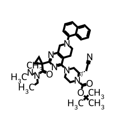 CCN(C(=O)C1(c2nc3c(c(N4CCN(C(=O)OC(C)(C)C)[C@@H](CC#N)C4)n2)CCN(c2cccc4ccccc24)C3)CC1)N(C)C